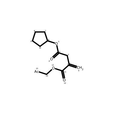 C=C(CC(=O)OC1CCCC1)C(=O)OCC(C)=O